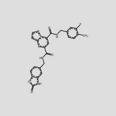 Cc1ccc(CNC(=O)c2cc(C(=O)NCc3ccc4oc(=O)[nH]c4c3)nc3ccnn23)cc1F